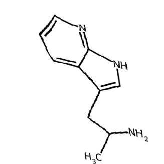 CC(N)Cc1c[nH]c2ncccc12